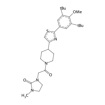 COc1c(C(C)(C)C)cc(-c2nc(C3CCN(C(=O)CN4CCN(C)C4=O)CC3)cs2)cc1C(C)(C)C